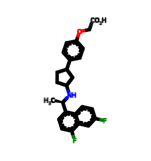 C[C@@H](NC1CCC(c2ccc(OCC(=O)O)cc2)C1)c1ccc(F)c2cc(F)ccc12